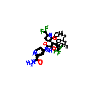 COc1nc(C(F)F)ccc1[C@@H]1[C@@H](C)[C@](C)(C(F)(F)F)O[C@H]1C(=O)Nc1ccnc(C(N)=O)c1